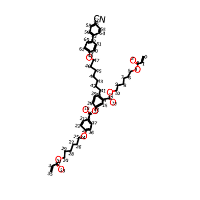 C=CC(=O)OCCCCCCOC(=O)c1cc(OC(=O)c2ccc(OCCCCCCOC(=O)C=C)cc2)ccc1CCCCCCCOc1ccc(-c2ccc(C#N)cc2)cc1